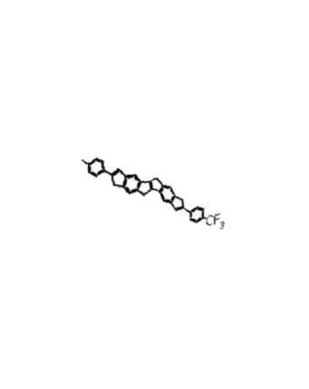 Cc1ccc(C2=Cc3cc4c(cc3C2)CC2=C4Cc3cc4c(cc32)C=C(c2ccc(C(F)(F)F)cc2)C4)cc1